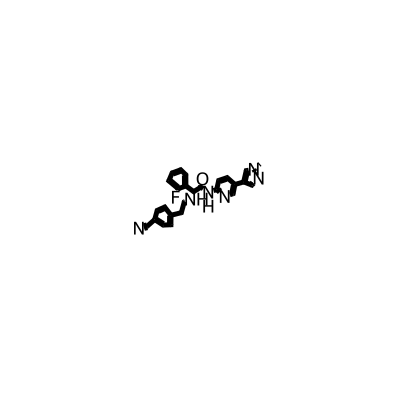 Cn1cc(-c2ccc(NC(=O)[C@@H](NCCc3ccc(C#N)cc3)c3ccccc3F)nc2)cn1